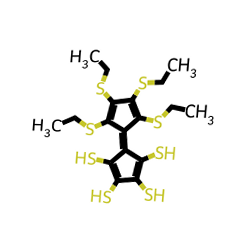 CCSC1=C(SCC)C(=C2C(S)=C(S)C(S)=C2S)C(SCC)=C1SCC